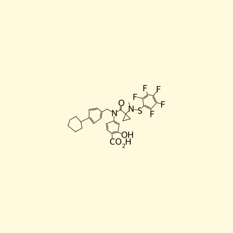 CN(Sc1c(F)c(F)c(F)c(F)c1F)C1(C(=O)N(Cc2ccc(C3CCCCC3)cc2)c2ccc(C(=O)O)c(O)c2)CC1